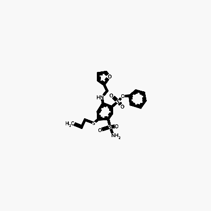 C=CCSc1cc(NCc2ccco2)c(S(=O)(=O)Oc2ccccc2)cc1S(N)(=O)=O